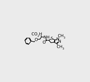 Cc1nn(C)c2c1CC(C(=O)NC(COCc1ccccc1)C(=O)O)S2